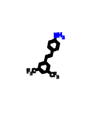 Nc1ccc(C=Cc2cc(C(F)(F)F)cc(C(F)(F)F)c2)cc1